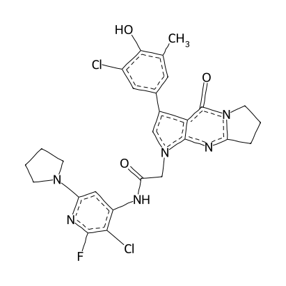 Cc1cc(-c2cn(CC(=O)Nc3cc(N4CCCC4)nc(F)c3Cl)c3nc4n(c(=O)c23)CCC4)cc(Cl)c1O